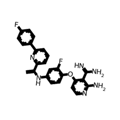 C=C(Nc1ccc(Oc2ccnc(N)c2C(=N)N)c(F)c1)c1cccc(-c2ccc(F)cc2)n1